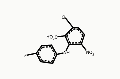 O=C(O)c1c(Cl)ccc([N+](=O)[O-])c1Nc1ccc(F)cc1